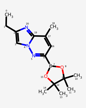 CCc1cn2nc(B3OC(C)(C)C(C)(C)O3)cc(C)c2n1